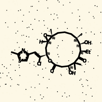 CC[C@H]1C(=O)C(C)(C)[C@@H](O)CC(=O)O[C@H](C(Cl)=Cc2csc(C)n2)C[C@@H]2O[C@@]2(C)CCC[C@H](C)[C@@H]1O